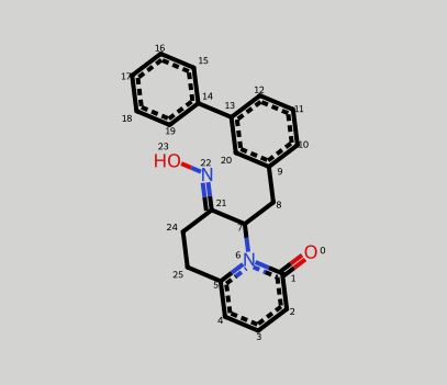 O=c1cccc2n1C(Cc1cccc(-c3ccccc3)c1)C(=NO)CC2